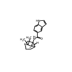 CC1(C)[C@H](NC(=O)c2ccc3[nH]ccc3c2)C2CCN1CC2